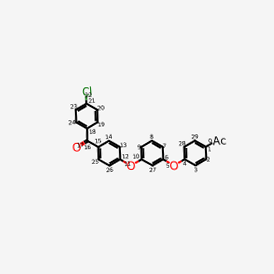 CC(=O)c1ccc(Oc2cccc(Oc3ccc(C(=O)c4ccc(Cl)cc4)cc3)c2)cc1